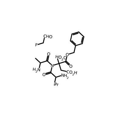 CC(N)C(=O)N(C(=O)C(N)C(C)C)C(CC(=O)O)(C(=O)O)C(=O)OCc1ccccc1.O=CCF